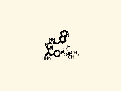 CC(C)(C)OC(=O)N1CCC(c2n[nH]cc2-c2cnc3nnc(Cc4ccc5ncccc5c4)n3n2)CC1